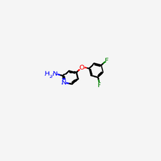 Nc1cc(Oc2cc(F)cc(F)c2)ccn1